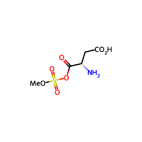 COS(=O)(=O)OC(=O)[C@@H](N)CC(=O)O